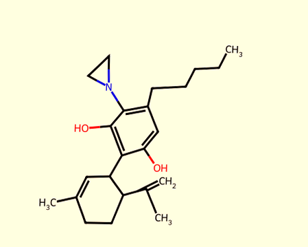 C=C(C)C1CCC(C)=CC1c1c(O)cc(CCCCC)c(N2CC2)c1O